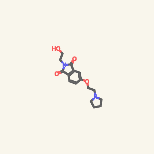 O=C1c2ccc(OCCN3CCCC3)cc2C(=O)N1CCO